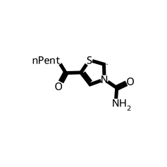 CCCCCC(=O)C1=CN(C(N)=O)[CH]S1